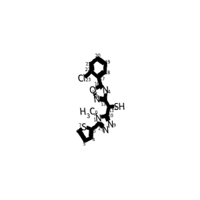 Cn1c(-c2cccs2)nnc1C(S)c1noc(-c2ccccc2Cl)n1